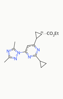 CCOC(=O)[C@H]1CC1c1cc(-n2nc(C)nc2C)nc(C2CC2)n1